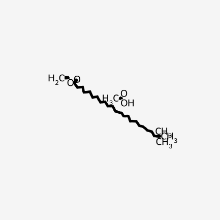 C=COC(=O)CCCCCCCCCCCCCCCCCCCCCC(C)(C)C.CC(=O)O